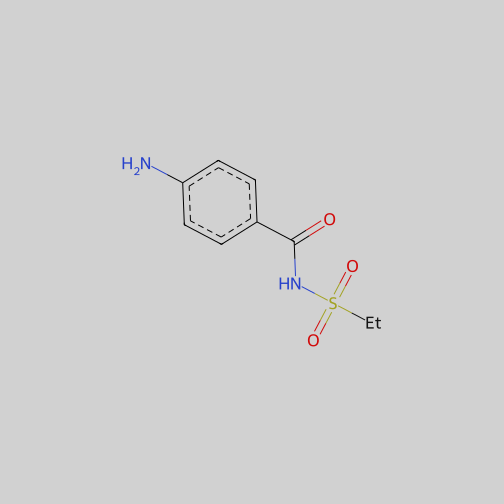 CCS(=O)(=O)NC(=O)c1ccc(N)cc1